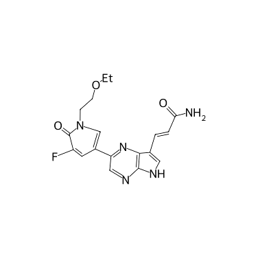 CCOCCn1cc(-c2cnc3[nH]cc(C=CC(N)=O)c3n2)cc(F)c1=O